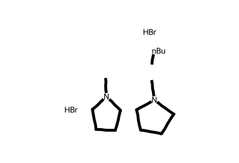 Br.Br.CCCCC.CN1CCCC1.CN1CCCC1